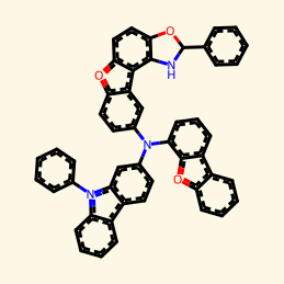 c1ccc(C2Nc3c(ccc4oc5ccc(N(c6ccc7c8ccccc8n(-c8ccccc8)c7c6)c6cccc7c6oc6ccccc67)cc5c34)O2)cc1